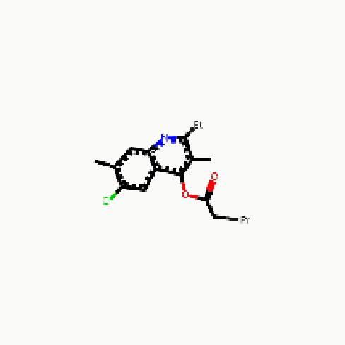 CCc1nc2cc(C)c(Cl)cc2c(OC(=O)CC(C)C)c1C